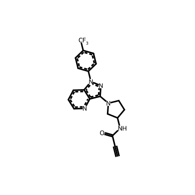 C#CC(=O)NC1CCN(c2nn(-c3ccc(C(F)(F)F)cc3)c3cccnc23)C1